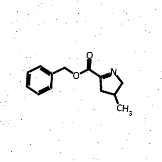 CC1CN=C(C(=O)OCc2ccccc2)C1